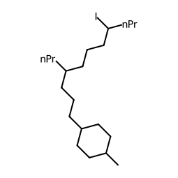 CCCC(I)CCCC(CCC)CCCC1CCC(C)CC1